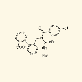 CCCC(CCC)N(Cc1ccccc1-c1ccccc1C(=O)[O-])C(=O)c1ccc(Cl)cc1.[Na+]